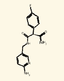 NC(=O)[C@@H](C(=O)NCc1ccc(N)nc1)c1ccc(F)cc1